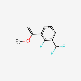 C=C(OCC)c1cccc(C(F)F)c1F